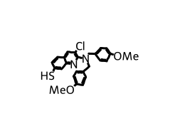 COc1ccc(CN(Cc2ccc(OC)cc2)c2nc3cc(S)ccc3cc2Cl)cc1